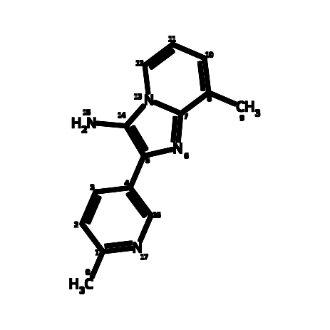 Cc1ccc(-c2nc3c(C)cccn3c2N)cn1